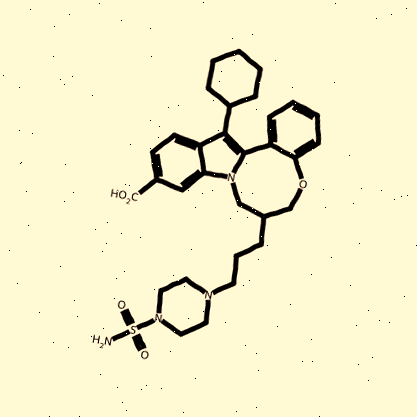 NS(=O)(=O)N1CCN(CCCC2COc3ccccc3-c3c(C4CCCCC4)c4ccc(C(=O)O)cc4n3C2)CC1